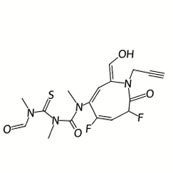 C#CCN1C(=O)C(F)\C=C(F)/C(N(C)C(=O)N(C)C(=S)N(C)C=O)=C\C1=C\O